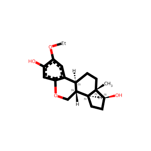 CCOc1cc2c(cc1O)OC[C@@H]1[C@@H]2CC[C@]2(C)[C@@H](O)CC[C@@H]12